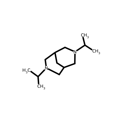 CC(C)N1CC2CC(C1)CN(C(C)C)C2